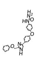 NC(=O)Nc1ccc(Oc2ccc(-c3c[nH]c(COc4ccccc4)n3)cc2)cc1